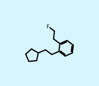 FCCc1ccccc1CCC1CCCC1